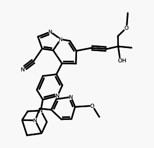 COCC(C)(O)C#Cc1cc(-c2ccc(N3CC4CC(C3)N4Cc3ccc(OC)nc3)nc2)c2c(C#N)cnn2c1